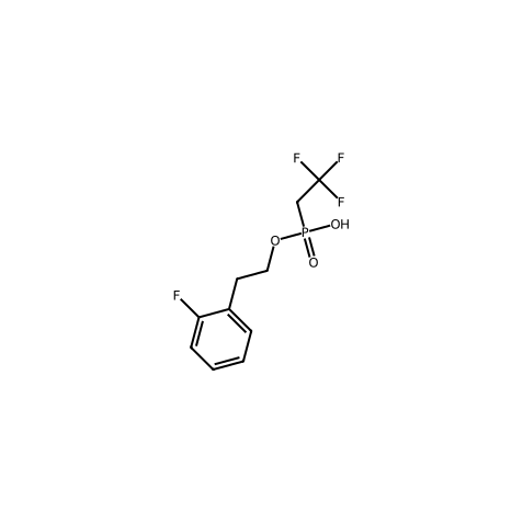 O=P(O)(CC(F)(F)F)OCCc1ccccc1F